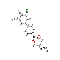 CC1COC(C2CCC(c3cc(F)c(F)c(I)c3)CC2)OC1